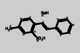 Nc1ccc(C=Cc2ccccc2)c(S(=O)(=O)O)c1.[NaH]